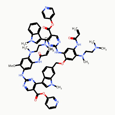 C=CC(=O)Nc1cc(Nc2ncc(C(=O)Oc3cccnc3)c(-c3cn(C)c4cc(COc5cc(N(C)CCN(C)C)c(NC(=O)C=C)cc5Nc5ncc(C(=O)Oc6ccncc6)c(-c6cn(C)c7ccccc67)n5)ccc34)n2)c(OC)cc1N(C)CCN(C)C